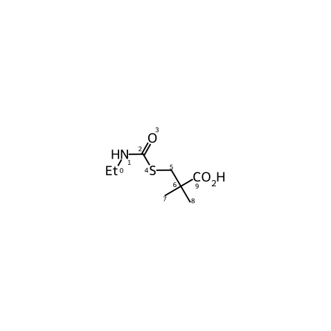 CCNC(=O)SCC(C)(C)C(=O)O